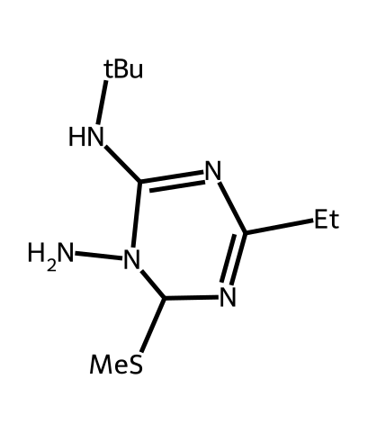 CCC1=NC(SC)N(N)C(NC(C)(C)C)=N1